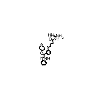 CN1CCC(OC(c2cccc(SCCCC(=O)NC(=N)N)c2)c2nc3ccccc3[nH]2)CC1